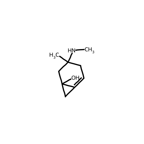 CNC1(C)CC=C2CC2(O)C1